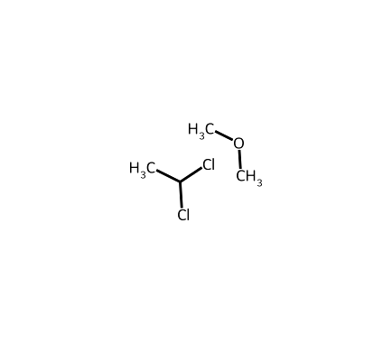 CC(Cl)Cl.COC